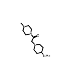 CNC1CCN(CC(=O)N2CCN(C)CC2)CC1